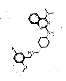 COc1ccc(F)cc1CNC[C@H]1CC[C@@H](Nc2nc(N(C)C)c3ccccc3n2)CC1